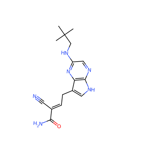 CC(C)(C)CNc1cnc2[nH]cc(C/C=C(\C#N)C(N)=O)c2n1